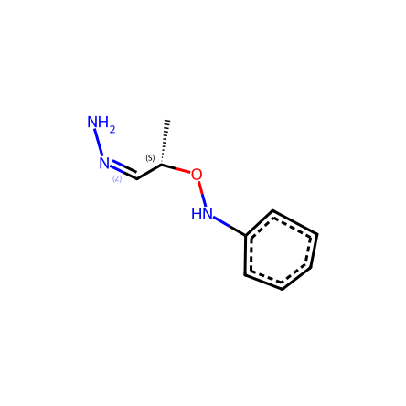 C[C@@H](/C=N\N)ONc1ccccc1